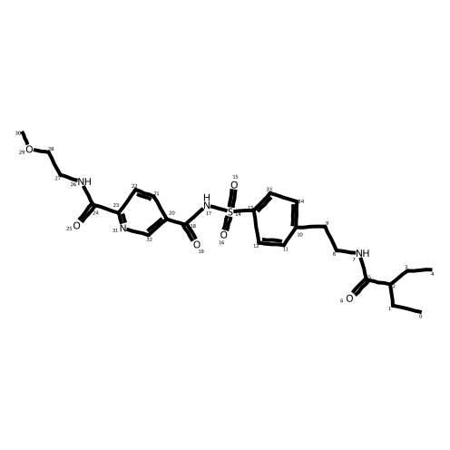 CCC(CC)C(=O)NCCc1ccc(S(=O)(=O)NC(=O)c2ccc(C(=O)NCCOC)nc2)cc1